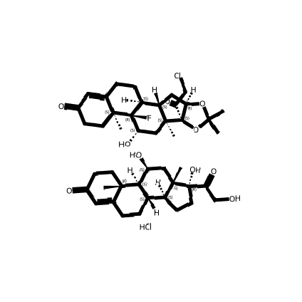 CC1(C)O[C@@H]2C[C@H]3[C@@H]4CCC5=CC(=O)CC[C@]5(C)[C@@]4(F)[C@@H](O)C[C@]3(C)[C@]2(C(=O)CCl)O1.C[C@]12CCC(=O)C=C1CC[C@@H]1[C@@H]2[C@@H](O)C[C@@]2(C)[C@H]1CC[C@]2(O)C(=O)CO.Cl